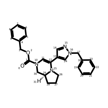 O=C(OCc1ccccc1)N1C=C(c2cnn(Cc3ccccc3)c2)N2CCC[C@H]2C1